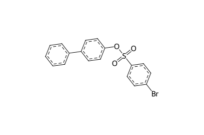 O=S(=O)(Oc1ccc(-c2ccccc2)cc1)c1ccc(Br)cc1